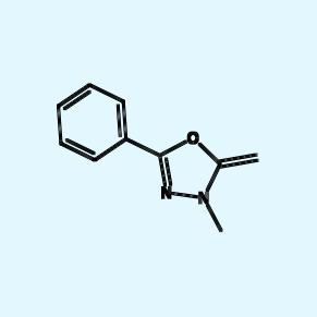 C=C1OC(c2ccccc2)=NN1C